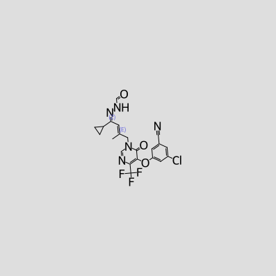 C/C(=C\C(=N/NC=O)C1CC1)Cn1cnc(C(F)(F)F)c(Oc2cc(Cl)cc(C#N)c2)c1=O